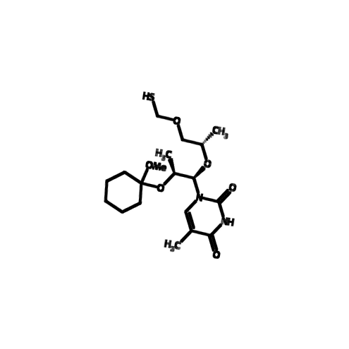 COC1(O[C@@H](C)[C@@H](O[C@@H](C)COCS)n2cc(C)c(=O)[nH]c2=O)CCCCC1